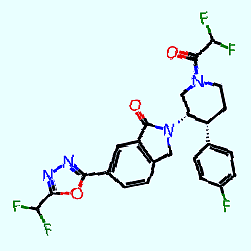 O=C(C(F)F)N1CC[C@H](c2ccc(F)cc2)[C@H](N2Cc3ccc(-c4nnc(C(F)F)o4)cc3C2=O)C1